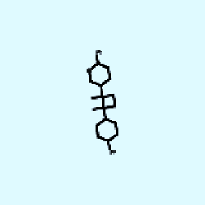 CC(C)C1CCC(C2(C)CCC2(C)C2CCC(C(C)C)OC2)CC1